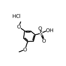 COc1cc(OC)cc(S(=O)(=O)O)c1.Cl